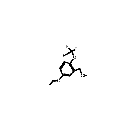 CCOc1ccc(OC(F)(F)F)c(CO)c1